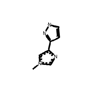 Cn1cnc(C2=N[N]C=C2)c1